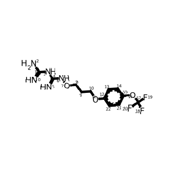 N=C(N)NC(=N)NOCCCOc1ccc(OC(F)(F)F)cc1